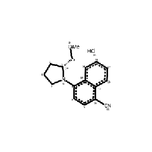 COC[C@H]1CCCN1c1ccc(C#N)c2ccccc12.Cl